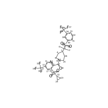 CC(C)(C1CCN(C(=O)c2ncc(C(F)(F)F)cc2S(=O)(=O)C2CC2)CC1)S(=O)(=O)c1cccc(C(F)(F)F)c1